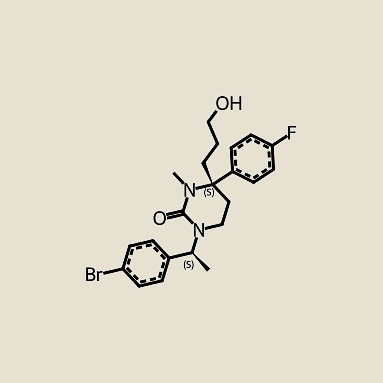 C[C@@H](c1ccc(Br)cc1)N1CC[C@@](CCCO)(c2ccc(F)cc2)N(C)C1=O